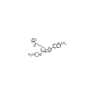 Cc1ccc2cc(-c3cnc(C(CCCCCC(=O)c4ncco4)NC(=O)[C@H]4CC45CCN(C)CC5)o3)ccc2n1